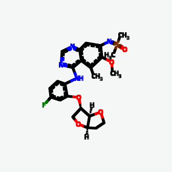 COc1c(N=S(C)(C)=O)cc2ncnc(Nc3ccc(F)cc3O[C@@H]3CO[C@@H]4CCO[C@@H]43)c2c1C